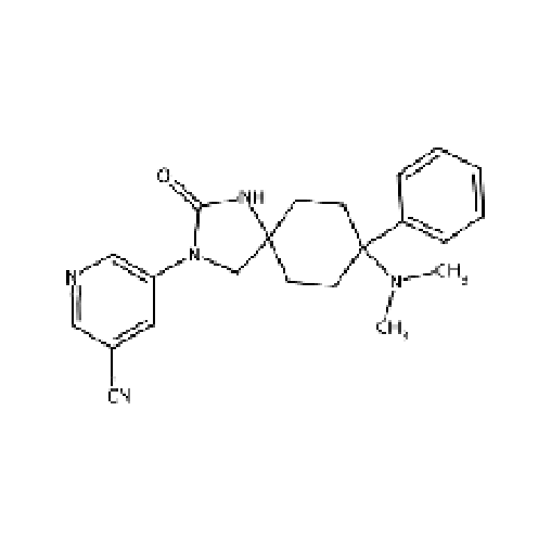 CN(C)C1(c2ccccc2)CCC2(CC1)CN(c1cncc(C#N)c1)C(=O)N2